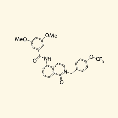 COc1cc(OC)cc(C(=O)Nc2cccc3c(=O)n(Cc4ccc(OC(F)(F)F)cc4)ccc23)c1